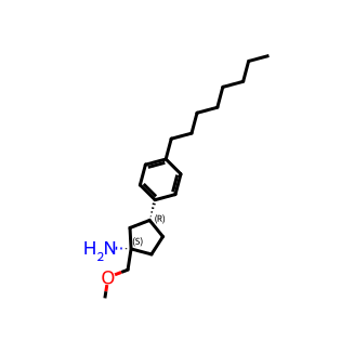 CCCCCCCCc1ccc([C@@H]2CC[C@@](N)(COC)C2)cc1